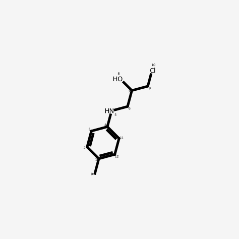 Cc1ccc(NCC(O)CCl)cc1